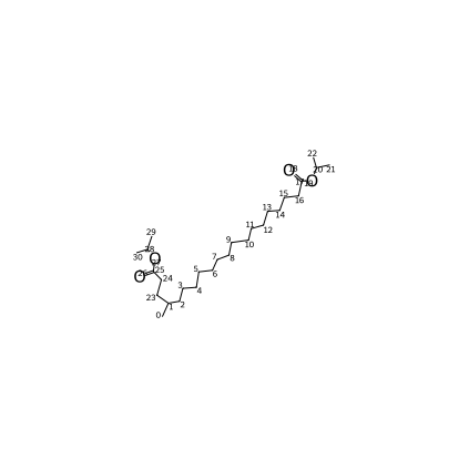 CC(CCCCCCCCCCCCCCCC(=O)OC(C)C)CCC(=O)OC(C)C